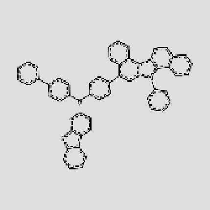 c1ccc(-c2ccc(N(c3ccc(-c4cc5c(c6ccccc46)c4ccc6ccccc6c4n5-c4ccccc4)cc3)c3ccc4c(c3)sc3ccccc34)cc2)cc1